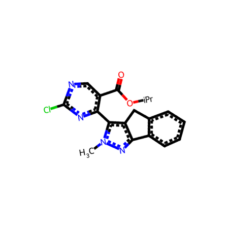 CC(C)OC(=O)c1cnc(Cl)nc1-c1c2c(nn1C)-c1ccccc1C2